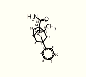 CC12CC3CC(c4ccccc4)(C1)CC2(C(N)=O)C3